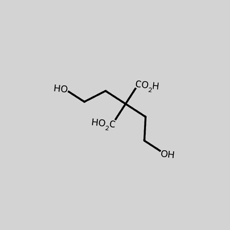 O=C(O)C(CCO)(CCO)C(=O)O